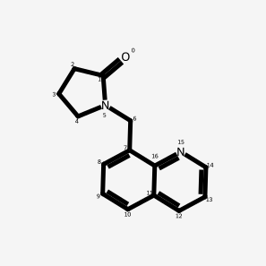 O=C1CCCN1Cc1cccc2cccnc12